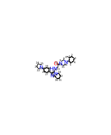 Cc1ccccc1N1CCN(C(=O)CNc2c(-c3ccc(N4CCCC4)cc3)nc3ccccn23)CC1